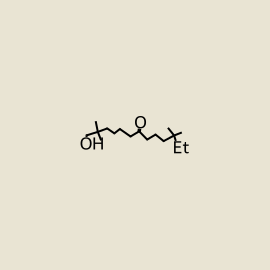 CCC(C)(C)CCCC(=O)CCCCC(C)(C)CO